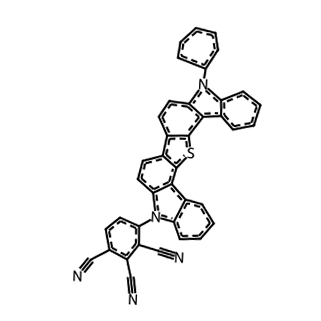 N#Cc1ccc(-n2c3ccccc3c3c4sc5c(ccc6c5c5ccccc5n6-c5ccccc5)c4ccc32)c(C#N)c1C#N